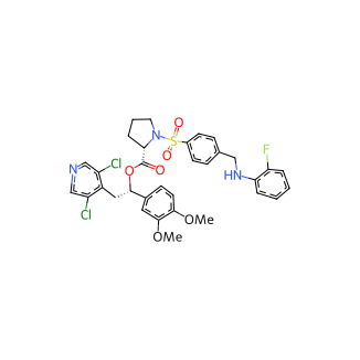 COc1ccc([C@H](Cc2c(Cl)cncc2Cl)OC(=O)[C@@H]2CCCN2S(=O)(=O)c2ccc(CNc3ccccc3F)cc2)cc1OC